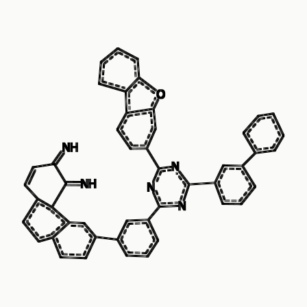 N=C1C=Cc2ccc3ccc(-c4cccc(-c5nc(-c6cccc(-c7ccccc7)c6)nc(-c6ccc7c(c6)oc6ccccc67)n5)c4)cc3c2C1=N